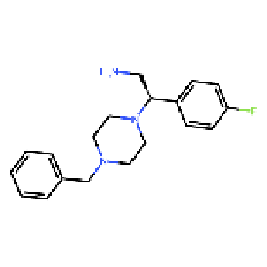 NC[C@@H](c1ccc(F)cc1)N1CCN(Cc2ccccc2)CC1